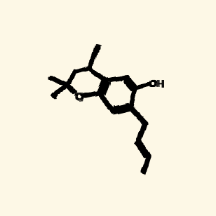 CC=CCc1cc2c(cc1O)C(C)CC(C)(C)O2